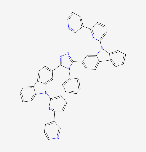 c1ccc(-n2c(-c3ccc4c5ccccc5n(-c5cccc(-c6cccnc6)n5)c4c3)nnc2-c2ccc3c4ccccc4n(-c4cccc(-c5cccnc5)n4)c3c2)cc1